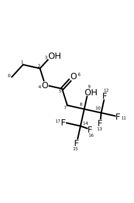 CCC(O)OC(=O)CC(O)(C(F)(F)F)C(F)(F)F